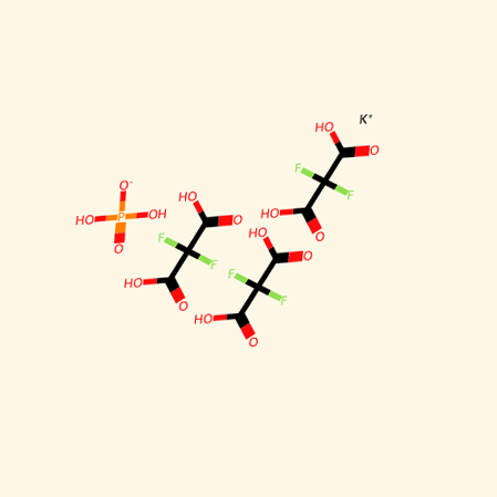 O=C(O)C(F)(F)C(=O)O.O=C(O)C(F)(F)C(=O)O.O=C(O)C(F)(F)C(=O)O.O=P([O-])(O)O.[K+]